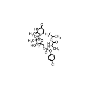 C=C1NC(=O)C=CN1[C@@H]1O[C@](F)(COP(=O)(NC(C)C(=O)OC(C)C)Oc2ccc(Cl)cc2)[C@@H](O)[C@@]1(C)O